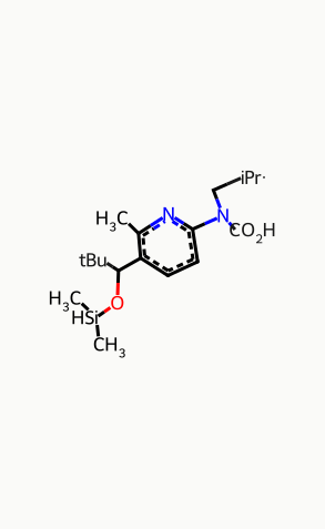 C[C](C)CN(C(=O)O)c1ccc(C(O[SiH](C)C)C(C)(C)C)c(C)n1